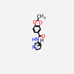 CC1Oc2ccc(C(=O)N[C@H]3CN4CCC3CC4)cc2O1